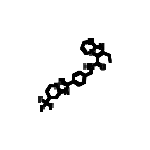 CCc1nc2ncccn2c1C(=O)NCc1ccc(-c2nc3n(n2)CCC(C(F)(F)F)C3)cc1